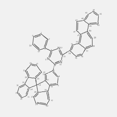 c1ccc(-c2nc(-c3ccc4c(c3)C3(c5ccccc5-c5ccccc53)c3ccccc3-4)nc(-c3ccc4ccc5c6ccccc6ccc5c4c3)n2)cc1